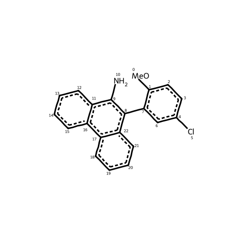 COc1ccc(Cl)cc1-c1c(N)c2ccccc2c2ccccc12